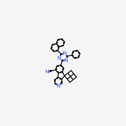 N#Cc1cc(-c2nc(-c3ccccc3)nc(-c3cccc4ccccc34)n2)cc2c1-c1ccncc1C21C2CC3CC4CC1C342